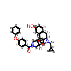 O=C(c1ccc(Oc2ccccc2)cc1)N1C[C@H]2CC34CCC1C2C31CCN(CC2CC2)C4Cc2ccc(O)cc21